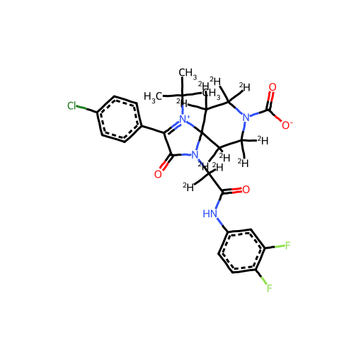 [2H]C([2H])(C(=O)Nc1ccc(F)c(F)c1)N1C(=O)C(c2ccc(Cl)cc2)=[N+](C(C)(C)C)C12C([2H])([2H])C([2H])([2H])N(C(=O)[O-])C([2H])([2H])C2([2H])[2H]